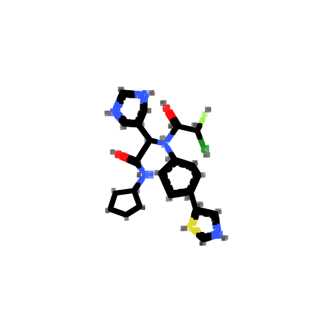 O=C(NC1CCCC1)C(c1cncnc1)N(C(=O)C(F)Cl)c1ccc(-c2cncs2)cc1